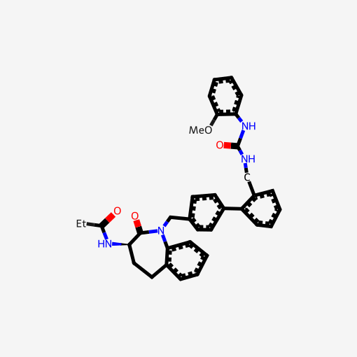 CCC(=O)N[C@@H]1CCc2ccccc2N(Cc2ccc(-c3ccccc3CNC(=O)Nc3ccccc3OC)cc2)C1=O